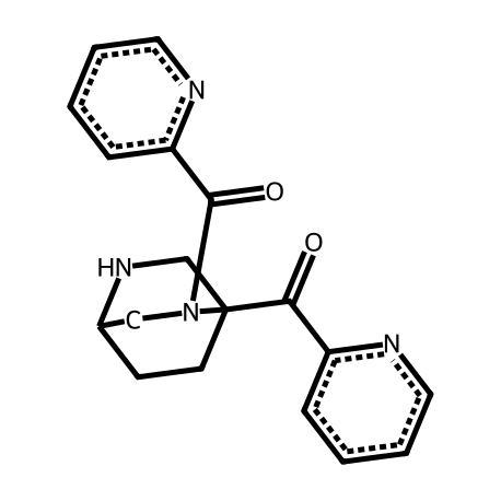 O=C(c1ccccn1)N1CC2CCC1(C(=O)c1ccccn1)CN2